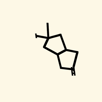 CC1(I)CC2CNCC2C1